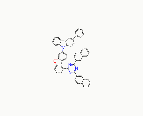 C1=CC2C(C=C1c1ccccc1)c1ccccc1N2c1ccc2c(c1)oc1cccc(-c3nc(-c4ccc5ccccc5c4)nc(-c4ccc5ccccc5c4)n3)c12